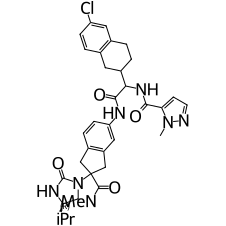 CNC(=O)C1(N2C[C@@H](C(C)C)NC2=O)Cc2ccc(NC(=O)C(NC(=O)c3ccnn3C)C3CCc4cc(Cl)ccc4C3)cc2C1